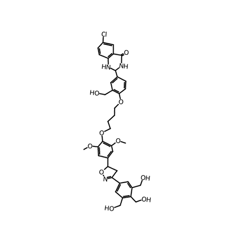 COc1cc(C2CC(c3cc(CO)c(CO)c(CO)c3)=NO2)cc(OC)c1OCCCCOc1ccc(C2NC(=O)c3cc(Cl)ccc3N2)cc1CO